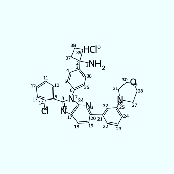 Cl.NC1(c2ccc(-n3c(-c4ccccc4Cl)nc4ccc(-c5cccc(N6CCOCC6)c5)nc43)cc2)CCC1